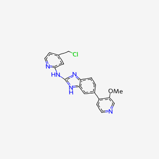 COc1cnccc1-c1ccc2nc(Nc3cc(CCl)ccn3)[nH]c2c1